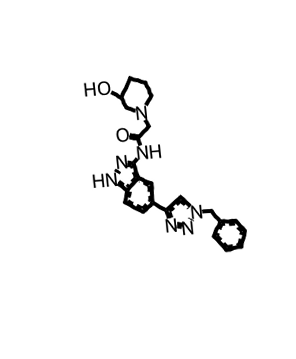 O=C(CN1CCCC(O)C1)Nc1n[nH]c2ccc(-c3cn(Cc4ccccc4)nn3)cc12